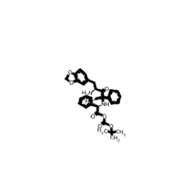 CCC(N[C@H](C(=O)OC(=O)OC(C)(C)C)c1ccccc1)(C(=O)[C@@H](N)Cc1ccc2c(c1)OCO2)c1ccccc1